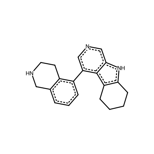 c1cc2c(c(-c3cncc4[nH]c5c(c34)CCCC5)c1)CCNC2